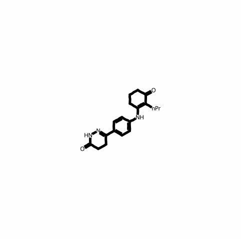 CCCC1=C(Nc2ccc(C3=NNC(=O)CC3)cc2)CCCC1=O